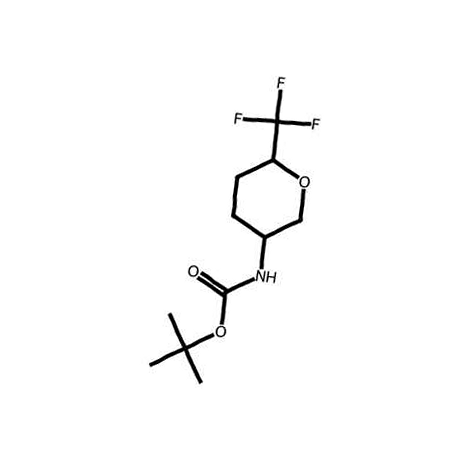 CC(C)(C)OC(=O)NC1CCC(C(F)(F)F)OC1